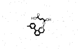 Cc1cccc(-c2cccc3c2CN(C)CC3)c1.O=C(O)C=CC(=O)O